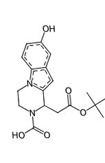 CC(C)(C)OC(=O)CC1c2cc3cc(O)ccc3n2CCN1C(=O)O